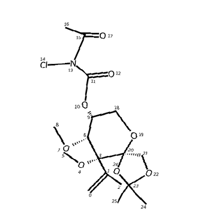 C=C(C)[C@@]1(OC)[C@H](OC)[C@H](OC(=O)N(Cl)C(C)=O)CO[C@]12COC(C)(C)O2